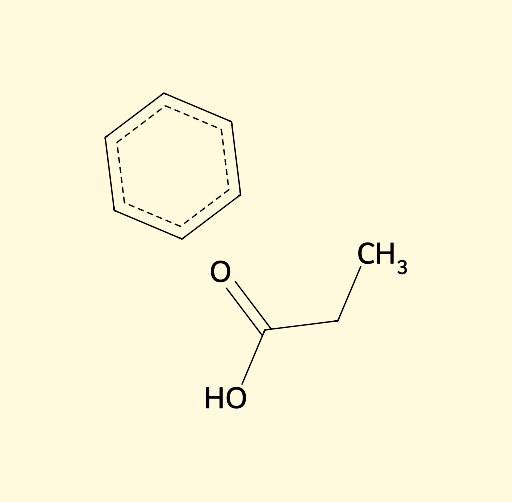 CCC(=O)O.c1ccccc1